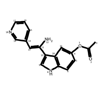 CC(=O)Oc1ccc2[nH]cc(/C(N)=C/c3cccnc3)c2c1